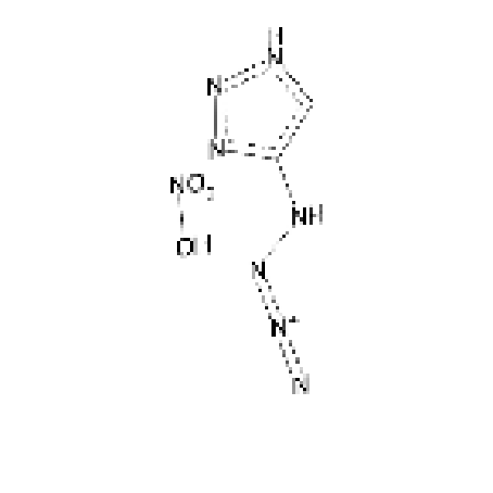 O=[N+]([O-])O.[N-]=[N+]=NNc1c[nH]nn1